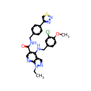 CCn1ncc2c(NCc3ccc(OC)c(Cl)c3)c(C(=O)NCc3ccc(-c4csnn4)cc3)cnc21